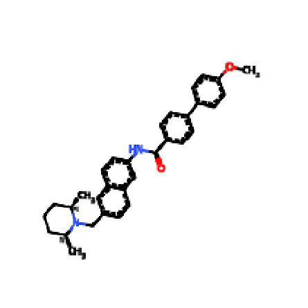 COc1ccc(-c2ccc(C(=O)Nc3ccc4cc(CN5[C@H](C)CCC[C@@H]5C)ccc4c3)cc2)cc1